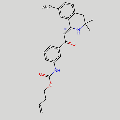 C=CCCOC(=O)Nc1cccc(C(=O)/C=C2\NC(C)(C)Cc3ccc(OC)cc32)c1